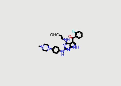 CN1CCN(c2ccc(Nc3nc(NC=CC=O)c4c(C(=O)c5ccccc5F)c[nH]c4n3)cc2)CC1